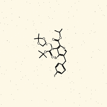 CC(C)OC(=O)c1ncc(Cc2ccc(F)cc2)c(Br)c1N(C[C@@H]1COC(C)(C)O1)C(=O)OC(C)(C)C